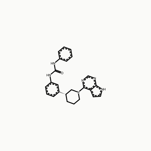 O=C(Nc1ccccc1)Nc1cccc([C@H]2CCCN(c3ncnc4[nH]ccc34)C2)c1